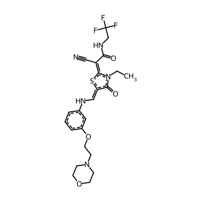 CCn1c(=C(C#N)C(=O)NCC(F)(F)F)sc(=CNc2cccc(OCCN3CCOCC3)c2)c1=O